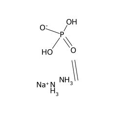 C=C.N.N.O=P([O-])(O)O.[Na+]